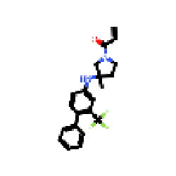 C=CC(=O)N1CCC(C)(Nc2ccc(-c3ccccc3)c(C(F)(F)F)c2)C1